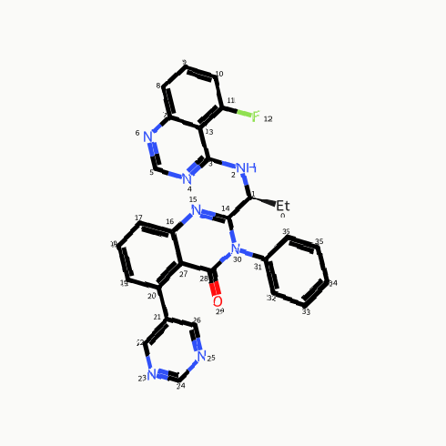 CC[C@H](Nc1ncnc2cccc(F)c12)c1nc2cccc(-c3cncnc3)c2c(=O)n1-c1ccccc1